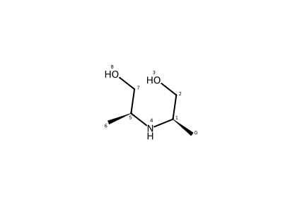 C[C@H](CO)N[C@@H](C)CO